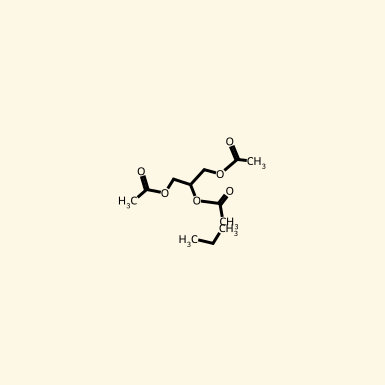 CC(=O)OCC(COC(C)=O)OC(C)=O.CCC